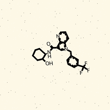 O=C(N[C@H]1CCCCC1O)c1cn(Cc2cccc(C(F)(F)F)c2)c2cccnc12